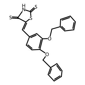 S=C1NC(=S)C(=Cc2ccc(OCc3ccccc3)c(OCc3ccccc3)c2)S1